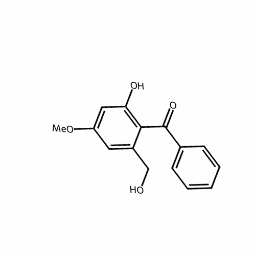 COc1cc(O)c(C(=O)c2ccccc2)c(CO)c1